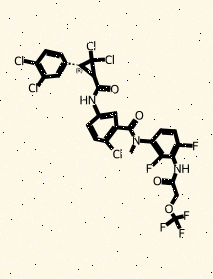 CN(C(=O)c1cc(NC(=O)C2[C@H](c3ccc(Cl)c(Cl)c3)C2(Cl)Cl)ccc1Cl)c1ccc(F)c(NC(=O)COC(F)(F)F)c1F